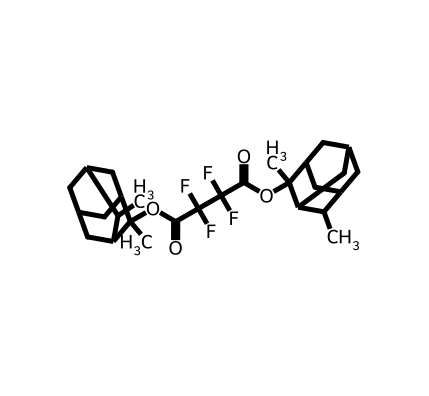 CC1C2CC3CC(C2)C(C)(OC(=O)C(F)(F)C(F)(F)C(=O)OC2(C)C4CC5CC(C4)C(C)C2C5)C1C3